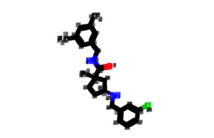 CC(C)[C@]1(C(=O)NCc2cc(C(F)(F)F)cc(C(F)(F)F)c2)CC[C@@H](NCc2cccc(Cl)c2)C1